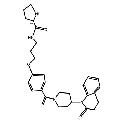 O=C(NCCCOc1ccc(C(=O)N2CCC(N3C(=O)CCc4ccccc43)CC2)cc1)[C@H]1CCCN1